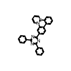 C1=CB2c3ccccc3-c3ccc(-c4nc(-c5ccccc5)nc(-c5ccccc5)n4)cc3N2C=C1